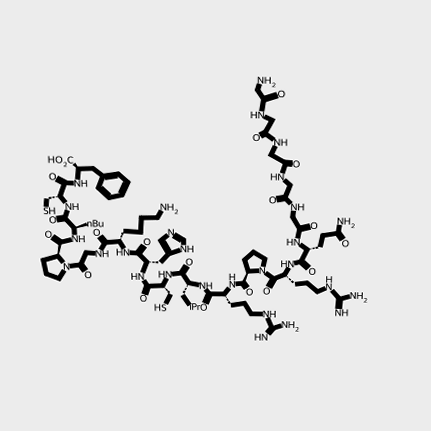 CCCC[C@@H](NC(=O)[C@@H]1CCCN1C(=O)CNC(=O)[C@H](CCCCN)NC(=O)[C@H](Cc1cnc[nH]1)NC(=O)[C@@H](CS)NC(=O)[C@@H](CC(C)C)NC(=O)[C@@H](CCCNC(=N)N)NC(=O)[C@H]1CCCN1C(=O)[C@@H](CCCNC(=N)N)NC(=O)[C@@H](CCC(N)=O)NC(=O)CNC(=O)CNC(=O)CNC(=O)CNC(=O)CN)C(=O)N[C@H](CS)C(=O)N[C@H](Cc1ccccc1)C(=O)O